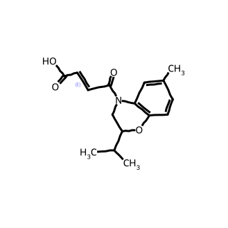 Cc1ccc2c(c1)N(C(=O)/C=C/C(=O)O)CC(C(C)C)O2